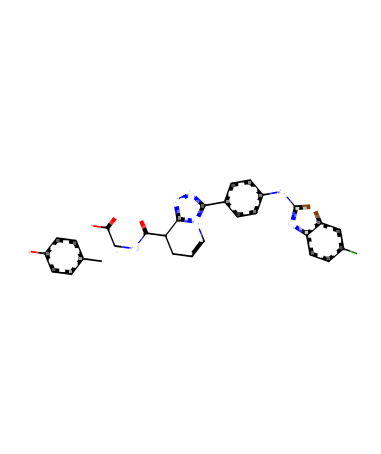 O=C(N[C@H](Cc1ccc(O)cc1)C(=O)O)C1CC=Cn2c(-c3ccc(Nc4nc5ccc(Cl)cc5s4)cc3)nnc21